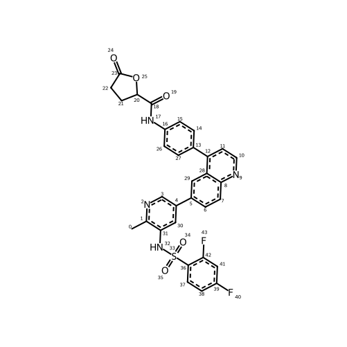 Cc1ncc(-c2ccc3nccc(-c4ccc(NC(=O)C5CCC(=O)O5)cc4)c3c2)cc1NS(=O)(=O)c1ccc(F)cc1F